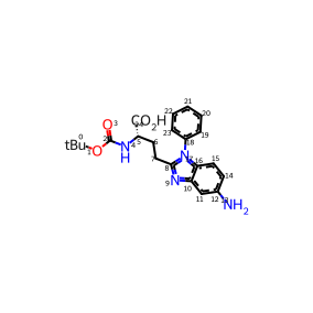 CC(C)(C)OC(=O)N[C@@H](CCc1nc2cc(N)ccc2n1-c1ccccc1)C(=O)O